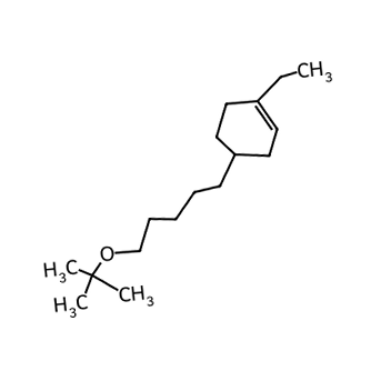 CCC1=CCC(CCCCCOC(C)(C)C)CC1